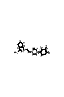 CC(=O)c1nn(CCN2CCN(c3ccc(F)c(C)c3F)CC2)c2c1CCC2